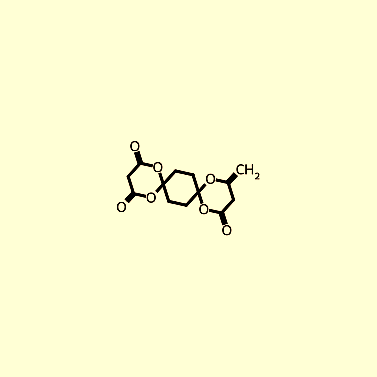 C=C1CC(=O)OC2(CCC3(CC2)OC(=O)CC(=O)O3)O1